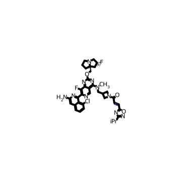 CC(C)c1noc(/C=C/C(=O)N2CC(CN(C)c3nc(OC[C@@]45CCCN4C[C@H](F)C5)nc4c(F)c(-c5nc(N)cc6cccc(Cl)c56)ncc34)C2)n1